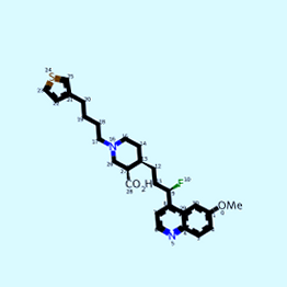 COc1ccc2nccc([C@H](F)CC[C@@H]3CCN(CCCCc4ccsc4)C[C@@H]3C(=O)O)c2c1